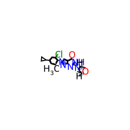 Cc1cc(C2CC2)cc(Cl)c1-n1cc2c(=O)[nH]c(N3C[C@@H]4C[C@H]3CO4)nc2n1